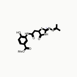 COC(=O)c1ccc(O)c(NC(=O)CC2S/C(=N/N=C(C)C)NC2=O)c1